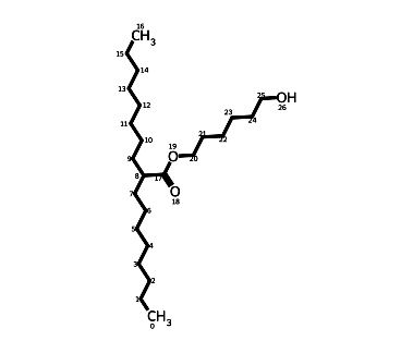 CCCCCCCCC(CCCCCCCC)C(=O)OCCCCCCO